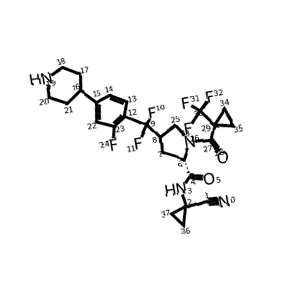 N#CC1(NC(=O)[C@@H]2CC(C(F)(F)c3ccc(C4CCNCC4)cc3F)CN2C(=O)C2(C(F)(F)F)CC2)CC1